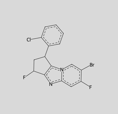 Fc1cc2nc3c(n2cc1Br)C(c1ccccc1Cl)CC3F